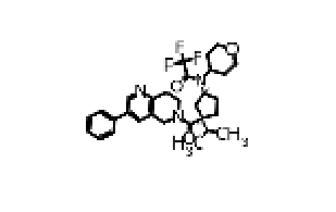 CC(C)[C@]1(C(=O)N2CCc3ncc(-c4ccccc4)cc3C2)CC[C@@H](N(C(=O)C(F)(F)F)C2CCOCC2)C1